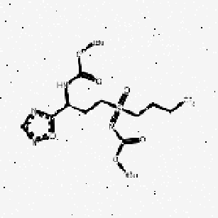 CC(C)(C)OC(=O)N=S(=O)(CCCC(F)(F)F)CC[C@H](NC(=O)OC(C)(C)C)c1ncno1